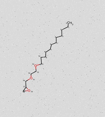 CCCCCCCCCCCCOCCOCC1CO1